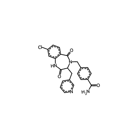 NC(=O)c1ccc(CN2C(=O)c3ccc(Cl)cc3NC(=O)C2Cc2cccnc2)cc1